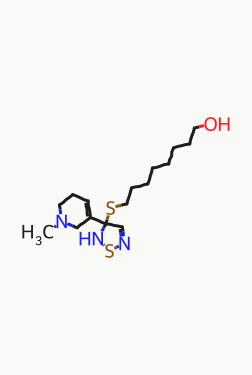 CN1CCC=C(C2(SCCCCCCCCO)C=NSN2)C1